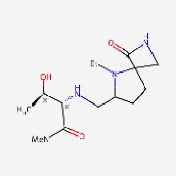 CCN1C(CN[C@H](C(=O)NC)[C@@H](C)O)CCC12CNC2=O